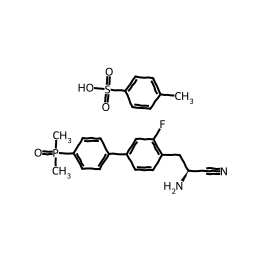 CP(C)(=O)c1ccc(-c2ccc(C[C@H](N)C#N)c(F)c2)cc1.Cc1ccc(S(=O)(=O)O)cc1